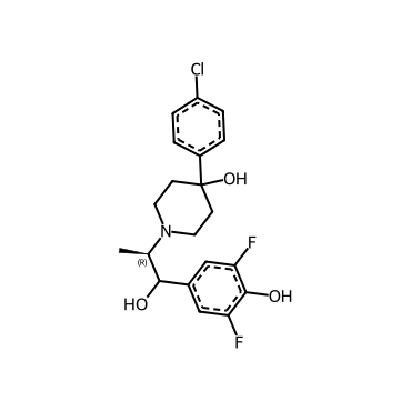 C[C@H](C(O)c1cc(F)c(O)c(F)c1)N1CCC(O)(c2ccc(Cl)cc2)CC1